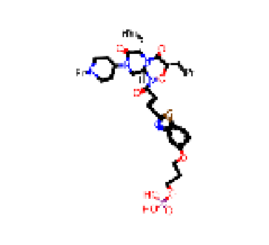 CC(C)C[C@H]1ON(C(=O)/C=C/c2nc3cc(OCCCOP(=O)(O)O)ccc3s2)[C@H]2CN(C3CCN(C(C)C)CC3)C(=O)[C@H](CC(C)(C)C)N2C1=O